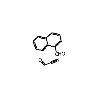 N#CC=O.O=Cc1cccc2ccccc12